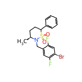 C[C@H]1CCC(c2ccccc2)S(=O)(=O)N1Cc1cc(F)c(Br)cc1F